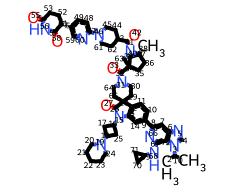 CC(C)n1cnc2cc(-c3ccc4c(c3)N(C3CC(N5CCCCC5)C3)C(=O)C43CCN(C(=O)C45CCC(C)(C4)N(C(=O)C4CCN(c6ccc([C@H]7CCC(=O)NC7=O)cn6)CC4)C5)CC3)nc(NC3CC3)c21